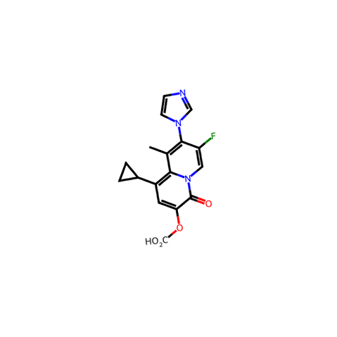 Cc1c(-n2ccnc2)c(F)cn2c(=O)c(OC(=O)O)cc(C3CC3)c12